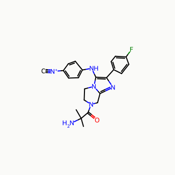 [C-]#[N+]c1ccc(Nc2c(-c3ccc(F)cc3)nc3n2CCN(C(=O)C(C)(C)N)C3)cc1